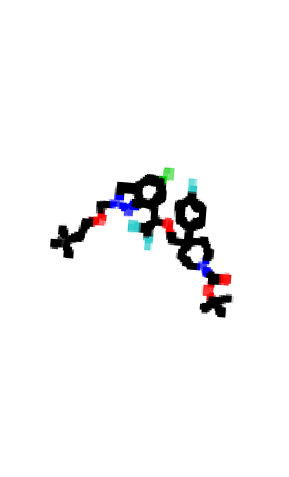 CC(C)(C)OC(=O)N1CCC(COC(c2cc(Cl)cc3cn(COCC[Si](C)(C)C)nc23)C(F)F)(c2ccc(F)cc2)CC1